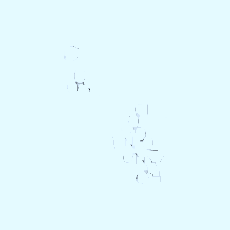 CCOC(=O)[C@H](CCCCCCC1CCN(C(=O)OCc2ccccc2)CC1)NC1COc2ccccc2N(CC(=O)O)C1=O